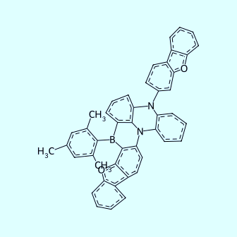 Cc1cc(C)c(B2c3cccc4c3N(c3ccccc3N4c3ccc4c(c3)oc3ccccc34)c3ccc4c(oc5ccccc54)c32)c(C)c1